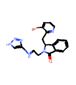 O=C1c2ccccc2C(Cc2ncccc2Br)N1CCNc1c[nH]nn1